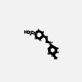 O=C(O)N1CCC(CCSc2ccc(Br)cc2)CC1